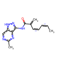 C=C(/C=C\C=C/C)C(=O)Nc1n[nH]c2cnc(C)nc12